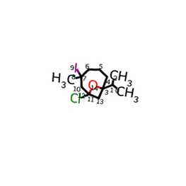 CC(C)C12CCCC(C)(I)CC(Cl)(C1)O2